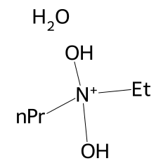 CCC[N+](O)(O)CC.O